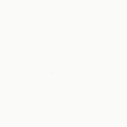 Cc1cccc(C)c1COC(OCc1c(C)cccc1C)C(O)=S